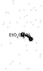 CCOC(=O)c1cnc(NCCCOc2ccccc2)c(I)c1